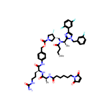 CSCCC(=O)N(C[C@@H]1CN(C(=O)OCc2ccc(NC(=O)[C@H](CCCNC(N)=O)NC(=O)[C@@H](NC(=O)CCCCCN3C(=O)C=CC3=O)C(C)C)cc2)C[C@@H]1F)[C@@H](c1nc(-c2cc(F)ccc2F)cn1Cc1cccc(F)c1)C(C)(C)C